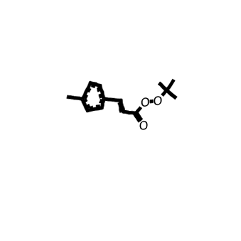 Cc1ccc(C=CC(=O)OOC(C)(C)C)cc1